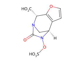 O=C(O)[C@@H]1c2occc2[C@@H]2CN1C(=O)N2OS(=O)(=O)O